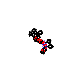 c1ccc(-c2nc(-c3ccccc3)nc(-c3ccc(-c4ccc5c(c4)C4(c6ccccc6-5)c5ccccc5-c5c4c4c6ccccc6c(-c6ccc(-c7nc(-c8ccccc8)nc(-c8ccccc8)n7)cc6)cc4c4ccccc54)cc3)n2)cc1